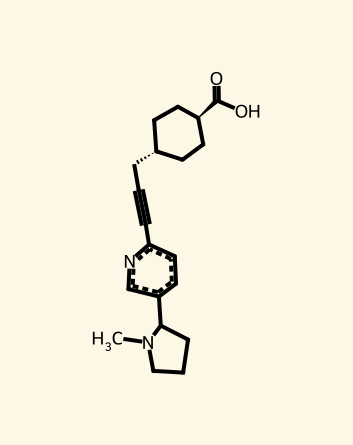 CN1CCCC1c1ccc(C#CC[C@H]2CC[C@H](C(=O)O)CC2)nc1